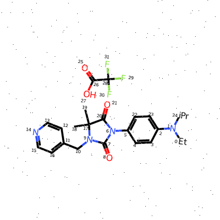 CCN(c1ccc(N2C(=O)N(Cc3ccncc3)C(C)(C)C2=O)cc1)C(C)C.O=C(O)C(F)(F)F